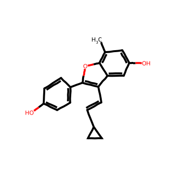 Cc1cc(O)cc2c(/C=C/C3CC3)c(-c3ccc(O)cc3)oc12